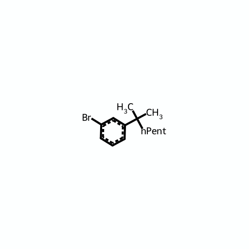 CCCCCC(C)(C)c1cccc(Br)c1